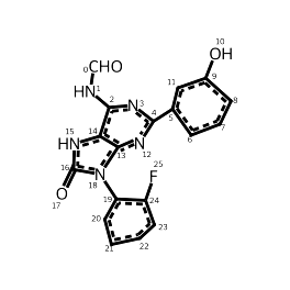 O=CNc1nc(-c2cccc(O)c2)nc2c1[nH]c(=O)n2-c1ccccc1F